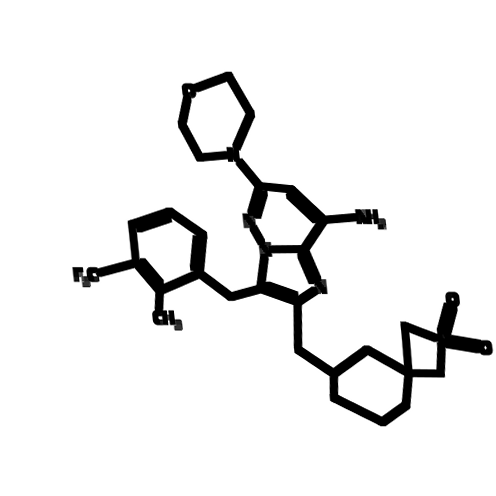 Cc1c(Cc2c(CC3CCCC4(C3)CS(=O)(=O)C4)nc3c(N)cc(N4CCOCC4)nn23)cccc1C(F)(F)F